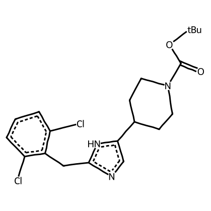 CC(C)(C)OC(=O)N1CCC(c2cnc(Cc3c(Cl)cccc3Cl)[nH]2)CC1